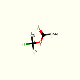 COC(=O)OC(F)(C#N)C#N